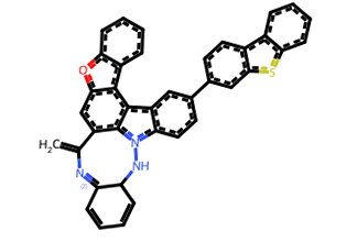 C=C1/N=C2/C=CC=CC2Nn2c3ccc(-c4ccc5c(c4)sc4ccccc45)cc3c3c4c(cc1c32)oc1ccccc14